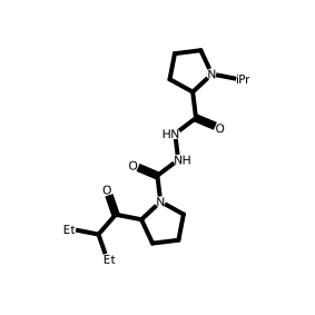 CCC(CC)C(=O)C1CCCN1C(=O)NNC(=O)C1CCCN1C(C)C